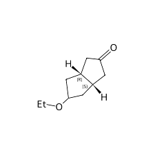 CCOC1C[C@H]2CC(=O)C[C@H]2C1